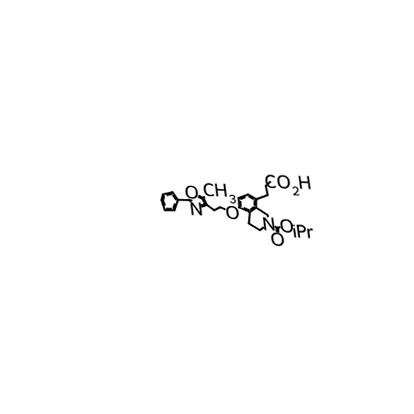 Cc1oc(-c2ccccc2)nc1CCOc1ccc(CCC(=O)O)c2c1CCN(C(=O)OC(C)C)C2